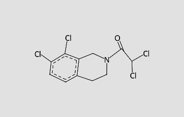 O=C(C(Cl)Cl)N1CCc2ccc(Cl)c(Cl)c2C1